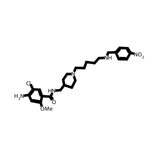 COc1cc(N)c(Cl)cc1C(=O)NCC1CCN(CCCCCNCc2ccc([N+](=O)[O-])cc2)CC1